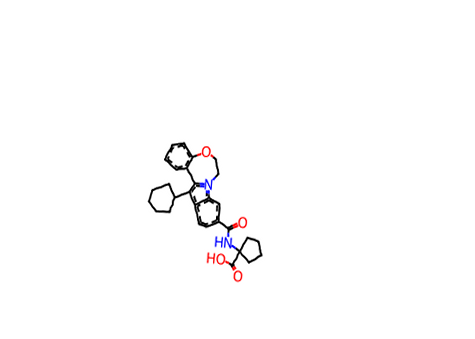 O=C(NC1(C(=O)O)CCCC1)c1ccc2c(C3CCCCC3)c3n(c2c1)CCOc1ccccc1-3